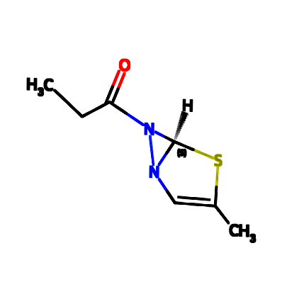 CCC(=O)N1[C@H]2SC(C)=CN21